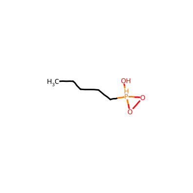 CCCCC[PH]1(O)OO1